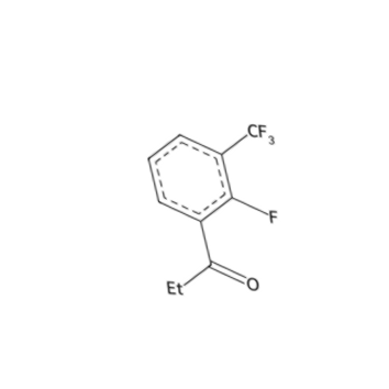 CCC(=O)c1cccc(C(F)(F)F)c1F